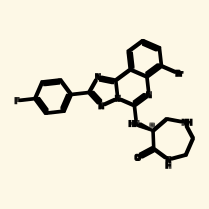 O=C1NCCNC[C@@H]1Nc1nc2c(Br)cccc2c2nc(-c3ccc(F)cc3)nn12